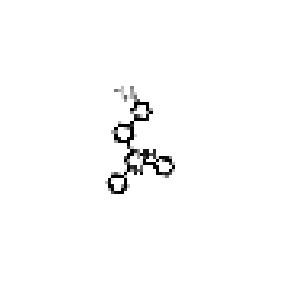 Nc1cccc(-c2cccc(C3=CC(c4ccccc4)=NC(c4ccccc4)N3)c2)c1